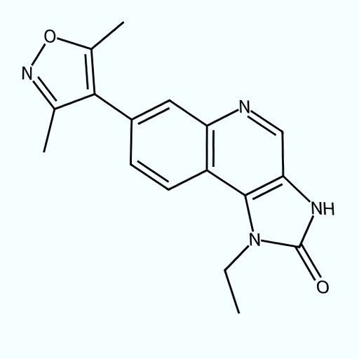 CCn1c(=O)[nH]c2cnc3cc(-c4c(C)noc4C)ccc3c21